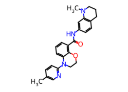 Cc1ccc(N2CCOc3c(C(=O)Nc4ccc5c(c4)N(C)CCC5)cccc32)nc1